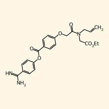 C=CCN(CC(=O)OCC)C(=O)COc1ccc(C(=O)Oc2ccc(C(=N)N)cc2)cc1